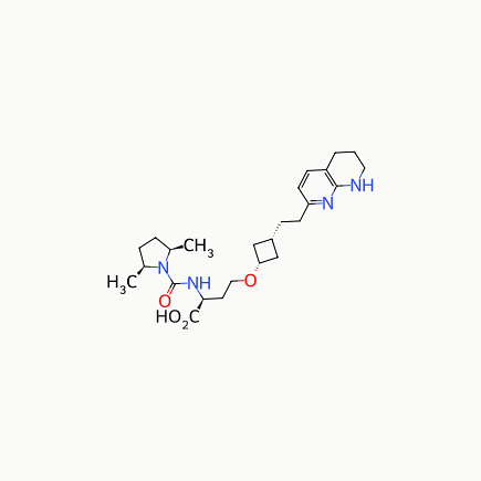 C[C@@H]1CC[C@H](C)N1C(=O)N[C@@H](CCO[C@H]1C[C@@H](CCc2ccc3c(n2)NCCC3)C1)C(=O)O